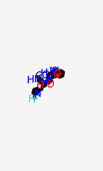 CN1N=C2CCN(C(=O)C(CCCc3cccc(C(F)F)n3)NC(=O)C(C)(C)NC(=O)O)CC2(Cc2ccccc2)C1=O